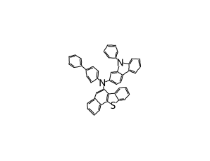 c1ccc(-c2ccc(N(c3ccc4c5ccccc5n(-c5ccccc5)c4c3)c3cc4ccccc4c4sc5ccccc5c34)cc2)cc1